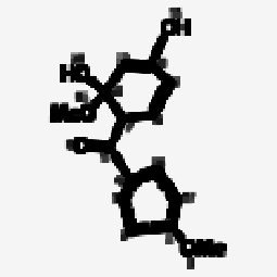 COc1ccc(C(=O)C2C=CC(O)=CC2(O)OC)cc1